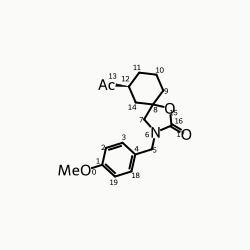 COc1ccc(CN2CC3(CCC[C@H](C(C)=O)C3)OC2=O)cc1